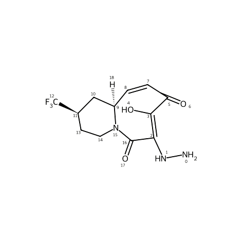 NN/C1=C(/O)C(=O)/C=C\[C@@H]2C[C@H](C(F)(F)F)CCN2C1=O